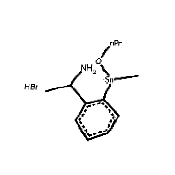 Br.CCC[O][Sn]([CH3])[c]1ccccc1C(C)N